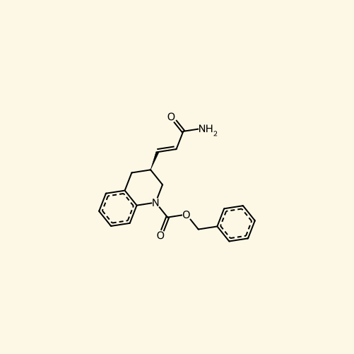 NC(=O)C=C[C@@H]1Cc2ccccc2N(C(=O)OCc2ccccc2)C1